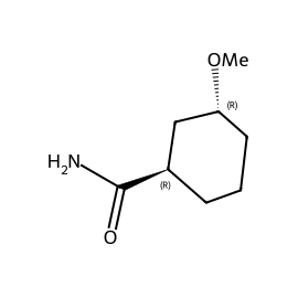 CO[C@@H]1CCC[C@@H](C(N)=O)C1